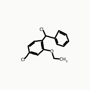 CCOc1cc(Cl)ccc1C(Cl)c1ccccc1